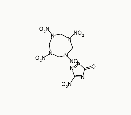 O=C1N=NC([N+](=O)[O-])=N1.O=[N+]([O-])N1CN([N+](=O)[O-])CN([N+](=O)[O-])CN([N+](=O)[O-])C1